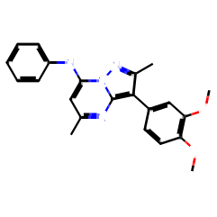 COc1ccc(-c2c(C)nn3c(Nc4ccccc4)cc(C)nc23)cc1OC